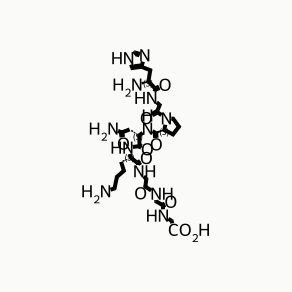 NCCCC[C@H](NC(=O)[C@H](CC(N)=O)NC(=O)[C@@H]1CCCN1C(=O)CNC(=O)[C@@H](N)Cc1c[nH]cn1)C(=O)NCC(=O)NCC(=O)NCC(=O)O